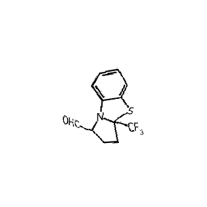 O=CC1CCC2(C(F)(F)F)Sc3ccccc3N12